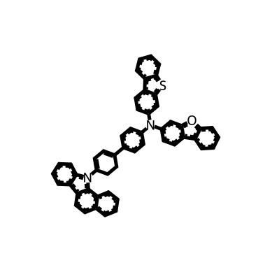 C1=C(c2ccc(N(c3ccc4c(c3)oc3ccccc34)c3ccc4c(c3)sc3ccccc34)cc2)CCC(n2c3ccccc3c3ccc4ccccc4c32)=C1